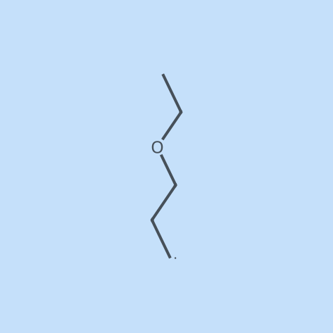 [CH2]CCOCC